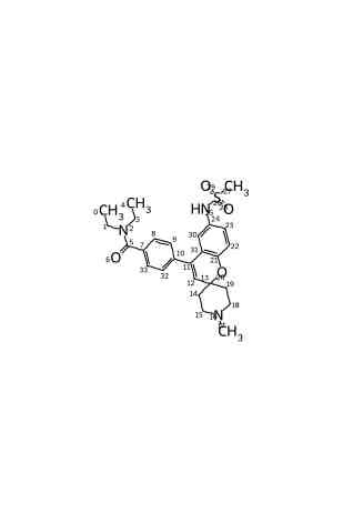 CCN(CC)C(=O)c1ccc(C2=CC3(CCN(C)CC3)Oc3ccc(NS(C)(=O)=O)cc32)cc1